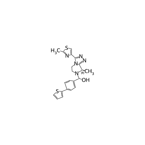 Cc1nc(-c2nnc3n2CCN(C(O)c2ccc(-c4cccs4)cc2)[C@@H]3C)cs1